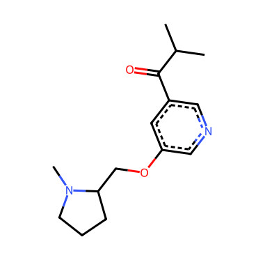 CC(C)C(=O)c1cncc(OCC2CCCN2C)c1